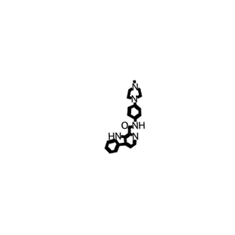 CN1CCN(c2ccc(NC(=O)c3nccc4c3[nH]c3ccccc34)cc2)CC1